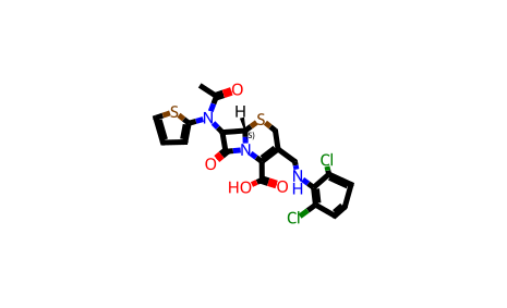 CC(=O)N(c1cccs1)C1C(=O)N2C(C(=O)O)=C(CNc3c(Cl)cccc3Cl)CS[C@@H]12